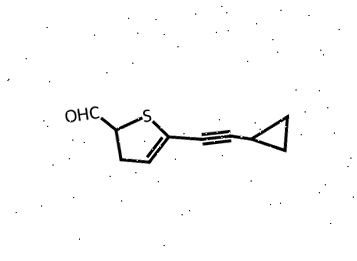 O=CC1CC=C(C#CC2CC2)S1